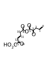 C=CCC(=O)C(=O)OC(=O)C/C=C/C(=O)C(=O)O